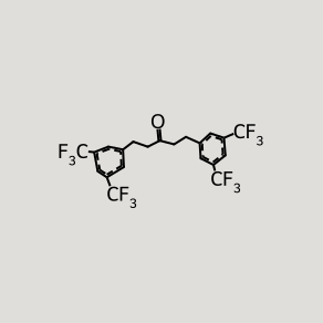 O=C(CCc1cc(C(F)(F)F)cc(C(F)(F)F)c1)CCc1cc(C(F)(F)F)cc(C(F)(F)F)c1